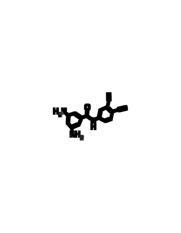 C#Cc1ccc(NC(=O)c2cc(N)cc(N)c2)cc1C#C